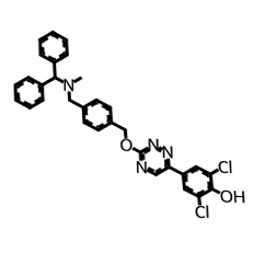 CN(Cc1ccc(COc2ncc(-c3cc(Cl)c(O)c(Cl)c3)nn2)cc1)C(c1ccccc1)c1ccccc1